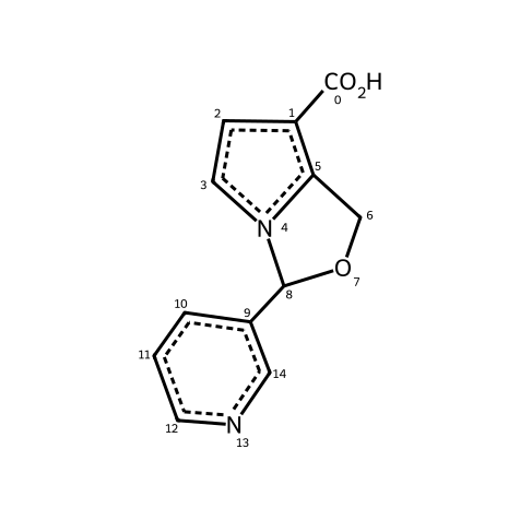 O=C(O)c1ccn2c1COC2c1cccnc1